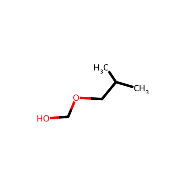 CC(C)COCO